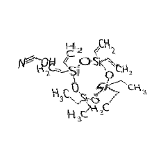 C=C[Si]1(C=C)O[Si](C=C)(C=C)O[Si](CC)(CC)O[Si](CC)(CC)O1.N#CO